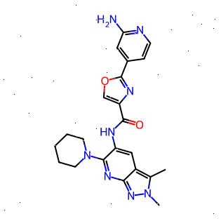 Cc1c2cc(NC(=O)c3coc(-c4ccnc(N)c4)n3)c(N3CCCCC3)nc2nn1C